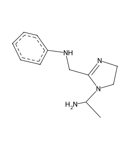 CC(N)N1CCN=C1CNc1ccccc1